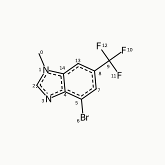 Cn1[c]nc2c(Br)cc(C(F)(F)F)cc21